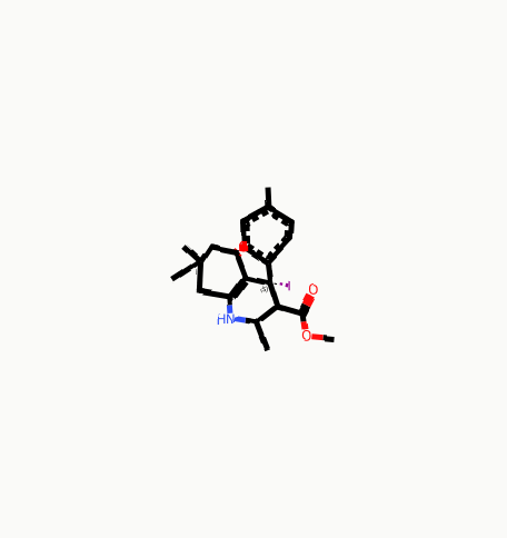 COC(=O)C1C(C)NC2=C(C(=O)CC(C)(C)C2)[C@@]1(I)c1ccc(C)cc1